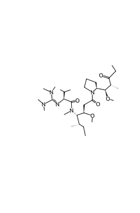 CCC(=O)[C@H](C)[C@@H](OC)[C@@H]1CCCN1C(=O)C[C@@H](OC)[C@H]([C@@H](C)CC)N(C)C(=O)[C@@H](N=C(N(C)C)N(C)C)C(C)C